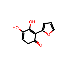 O=C1CC=C(O)C(O)=C1c1ccco1